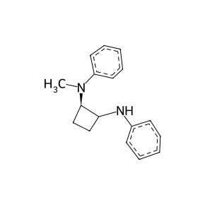 CN(c1ccccc1)[C@@H]1CCC1Nc1ccccc1